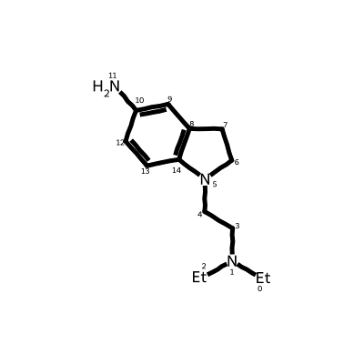 CCN(CC)CCN1CCc2cc(N)ccc21